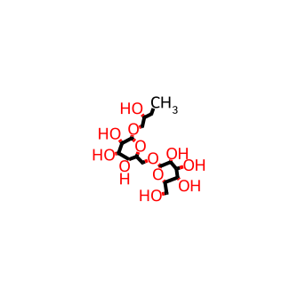 CCC(O)COC1OC(COC2OC(CO)C(O)C(O)C2O)C(O)C(O)C1O